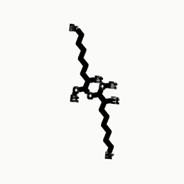 CCOC(OC(OCC)C(CC)CCCCCCBr)C(CC)CCCCCCBr